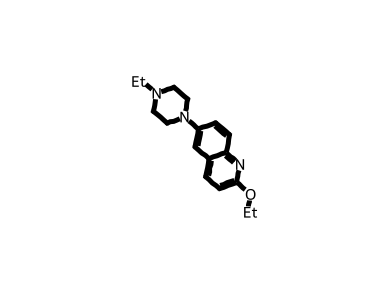 CCOc1ccc2cc(N3CCN(CC)CC3)ccc2n1